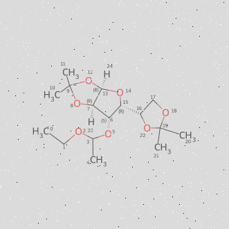 CCOC(C)O[C@@H]1[C@H]2OC(C)(C)O[C@H]2O[C@@H]1C1COC(C)(C)O1